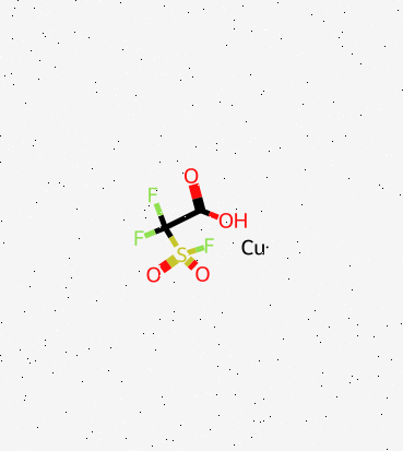 O=C(O)C(F)(F)S(=O)(=O)F.[Cu]